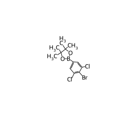 CC1(C)OB(c2cc(Cl)c(Br)c(Cl)c2)OC1(C)C